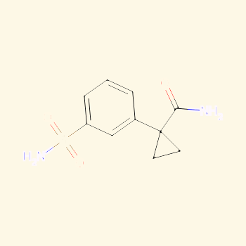 NC(=O)C1(c2cccc(S(N)(=O)=O)c2)CC1